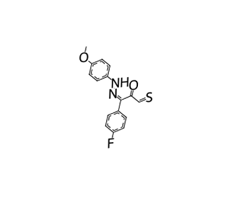 COc1ccc(NN=C(C(=O)C=S)c2ccc(F)cc2)cc1